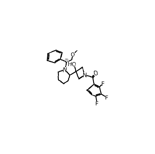 COC[C@H](c1ccccc1)N1CCCCC1C1(O)CN(C(=O)c2ccc(F)c(F)c2F)C1